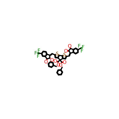 O=C1C(=O)c2cc(C(F)(F)F)ccc2/C1=C/c1cc2c(s1)-c1sc(/C=C3\C(=O)C(=O)c4cc(C(F)(F)F)ccc43)cc1C2(C(=O)OCc1ccccc1)C(=O)OCc1ccccc1